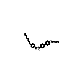 CCCCCCCCc1ccc(C(C)OC(=O)c2ccc(-c3ccc(OCCCCC)cc3)cc2)cc1